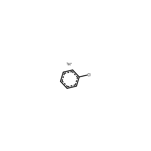 Clc1ccccc1.[1H+]